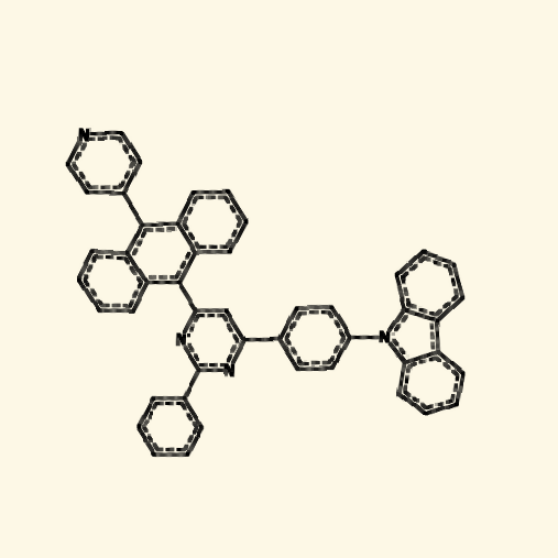 c1ccc(-c2nc(-c3ccc(-n4c5ccccc5c5ccccc54)cc3)cc(-c3c4ccccc4c(-c4ccncc4)c4ccccc34)n2)cc1